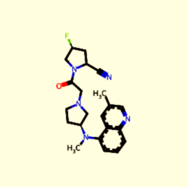 Cc1cnc2cccc(N(C)[C@H]3CCN(CC(=O)N4C[C@@H](F)CC4C#N)C3)c2c1